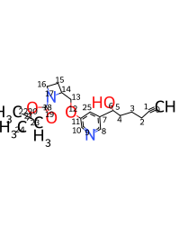 C#CCCCC(O)c1cncc(OCC2CCN2C(=O)OC(C)(C)C)c1